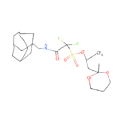 CC1(CC(OS(=O)(=O)C(F)(F)C(=O)NCC23CC4CC(CC(C4)C2)C3)C(F)(F)F)OCCCO1